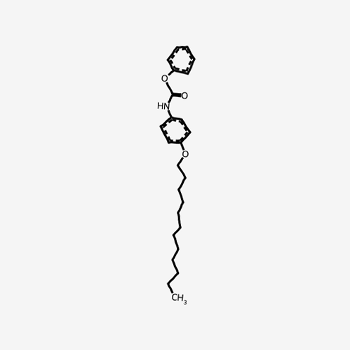 CCCCCCCCCCCCOc1ccc(NC(=O)Oc2ccccc2)cc1